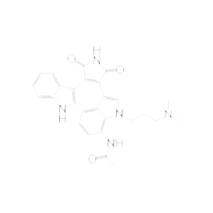 CC(=O)Nc1cccc2c(C3=C(c4c[nH]c5ccccc45)C(=O)NC3=O)cn(CCCN(C)C)c12